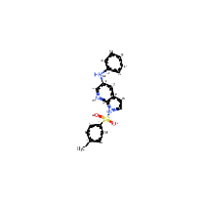 Cc1ccc(S(=O)(=O)n2ccc3cc(Nc4ccccc4)cnc32)cc1